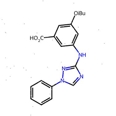 CC(C)COc1cc(Nc2ncn(-c3ccccc3)n2)cc(C(=O)O)c1